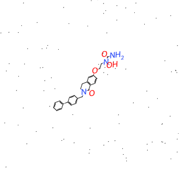 NC(=O)N(O)CCOc1ccc2c(c1)CCN(Cc1ccc(-c3ccccc3)cc1)C2=O